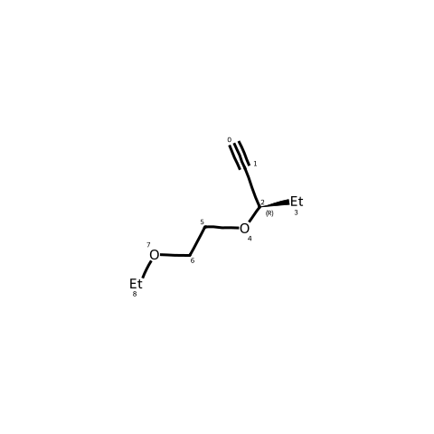 C#C[C@@H](CC)OCCOCC